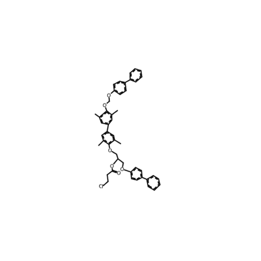 Cc1cc(-c2cc(C)c(OCC(COc3ccc(-c4ccccc4)cc3)OC(=O)CCCl)c(C)c2)cc(C)c1OCOc1ccc(-c2ccccc2)cc1